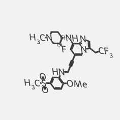 COc1ccc(S(C)(=O)=O)cc1NCC#Cc1cc(N[C@H]2CCN(C)C[C@@H]2F)c2ncc(CC(F)(F)F)n2c1